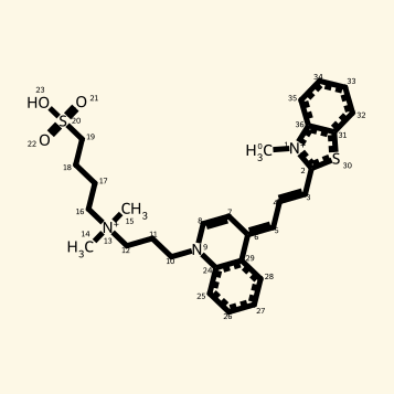 C[n+]1c(C=CC=C2C=CN(CCC[N+](C)(C)CCCCS(=O)(=O)O)c3ccccc32)sc2ccccc21